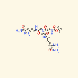 CC(C)(C)OC(=O)NCCC(=O)N(CC(=O)NCCCCC(N)C(N)=O)CC(=O)NCCCCC(N)C(N)=O